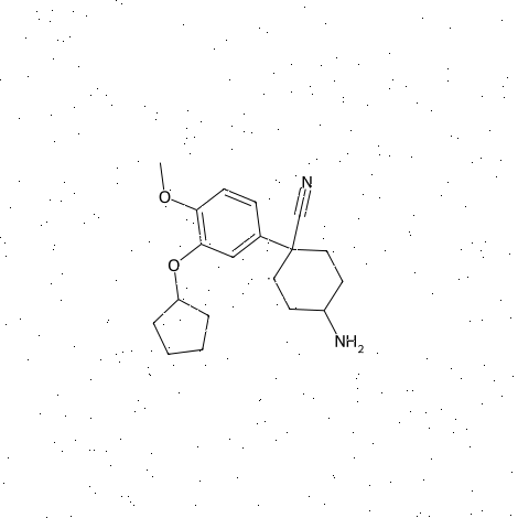 COc1ccc(C2(C#N)[CH]CC(N)CC2)cc1OC1CCCC1